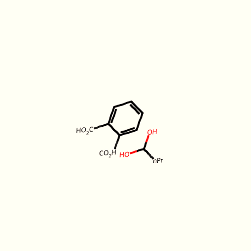 CCCC(O)O.O=C(O)c1ccccc1C(=O)O